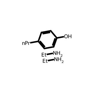 CCCc1ccc(O)cc1.CCN.CCN